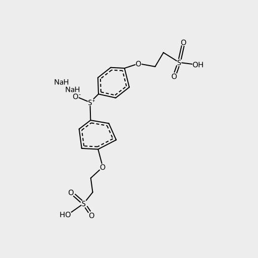 O=S(=O)(O)CCOc1ccc([S+]([O-])c2ccc(OCCS(=O)(=O)O)cc2)cc1.[NaH].[NaH]